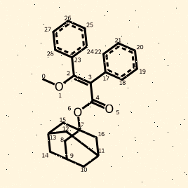 COC(=C(C(=O)OC12CC3CC(CC(C3)C1)C2)c1ccccc1)c1ccccc1